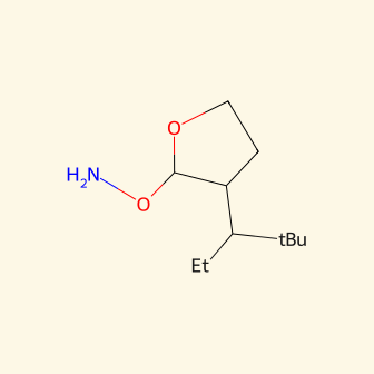 CCC(C1CCOC1ON)C(C)(C)C